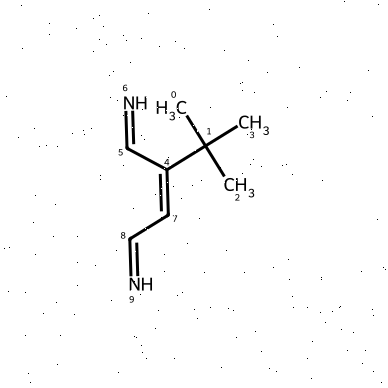 CC(C)(C)/C(C=N)=C/C=N